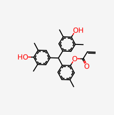 C=CC(=O)Oc1cc(C)ccc1C(c1cc(C)c(O)c(C)c1)c1cc(C)c(O)c(C)c1